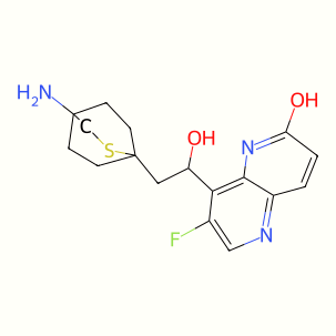 NC12CCC(CC(O)c3c(F)cnc4ccc(O)nc34)(CC1)SC2